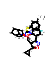 O=C(O)c1cc(F)c2nc(NC3C4CCC3CC(OCc3c(-c5ccccc5OC(F)(F)F)noc3C3CC3)C4)sc2c1